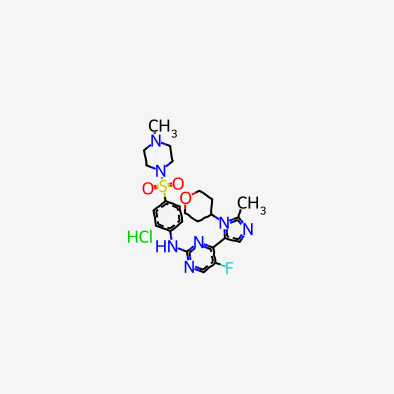 Cc1ncc(-c2nc(Nc3ccc(S(=O)(=O)N4CCN(C)CC4)cc3)ncc2F)n1C1CCOCC1.Cl